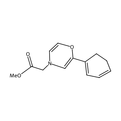 COC(=O)CN1C=COC(C2=CC=CCC2)=C1